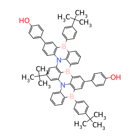 CC(C)(C)c1ccc(B2c3cc(-c4ccc(O)cc4)ccc3N3c4cc(C(C)(C)C)cc5c4B(c4cccc2c43)c2cc(-c3ccc(O)cc3)cc3c2N5c2ccccc2B3c2ccc(C(C)(C)C)cc2)cc1